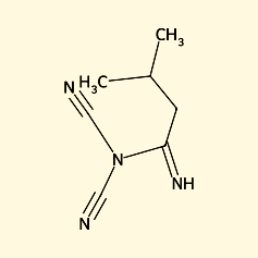 CC(C)CC(=N)N(C#N)C#N